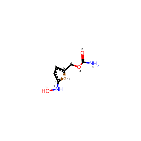 NC(=O)OCc1ccc(NO)s1